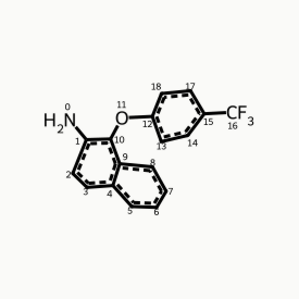 Nc1ccc2ccccc2c1Oc1ccc(C(F)(F)F)cc1